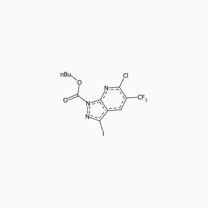 CCCCOC(=O)n1nc(I)c2cc(C(F)(F)F)c(Cl)nc21